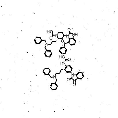 O=C(O)Nc1ccc(-n2c(=O)[nH]c3ccccc32)cc1CCCN(Cc1ccccc1)Cc1ccccc1.O=C(c1ccccc1)c1cccc2[nH]c(=O)n(C3CCN(C(=O)O)[C@@H](CCCN(Cc4ccccc4)Cc4ccccc4)C3)c12